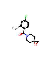 Cc1cc(Cl)ccc1C(=O)N1CCC2(CC1)CO2